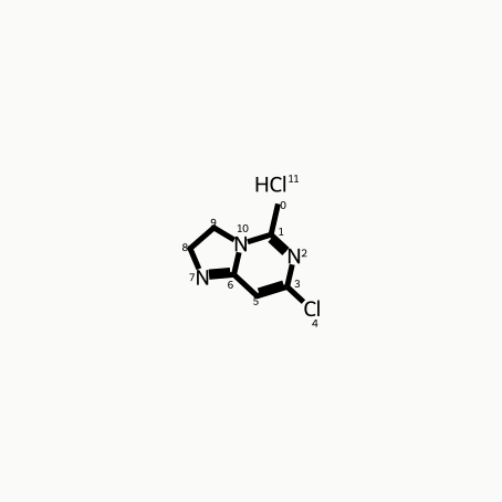 CC1=NC(Cl)=CC2=NCCN12.Cl